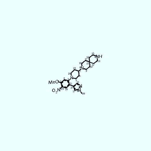 COc1cc(N2CCC(N3CCC4(CCNCC4)CC3)CC2)c(-c2cnn(C)c2)cc1[N+](=O)[O-]